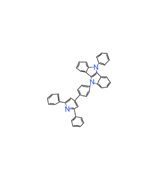 c1ccc(-c2cc(-c3ccc(-n4c5ccccc5c5c4c4ccccc4n5-c4ccccc4)cc3)cc(-c3ccccc3)n2)cc1